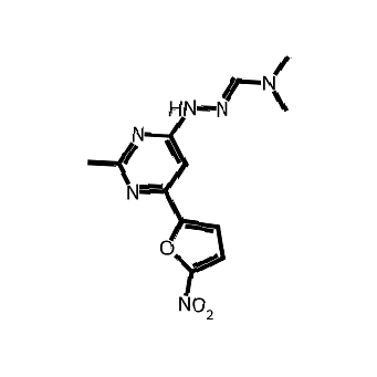 Cc1nc(N/N=C/N(C)C)cc(-c2ccc([N+](=O)[O-])o2)n1